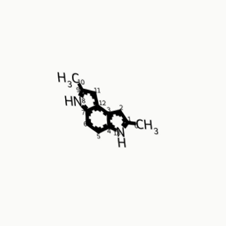 Cc1cc2c(ccc3[nH]c(C)cc32)[nH]1